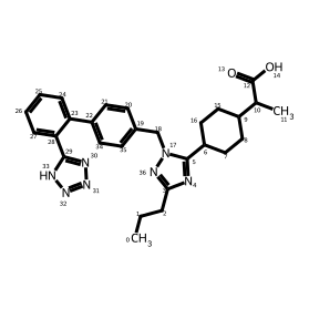 CCCc1nc(C2CCC(C(C)C(=O)O)CC2)n(Cc2ccc(-c3ccccc3-c3nnn[nH]3)cc2)n1